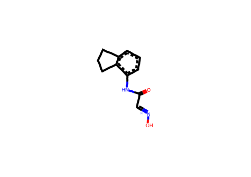 O=C(/C=N/O)Nc1cccc2c1CCC2